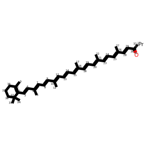 CC1=C(/C=C/C(C)=C/C=C/C(C)=C/C=C/C=C(C)/C=C/C=C(C)/C=C/C=C(C)/C=C/C(=O)C(C)C)C(C)(C)CCC1